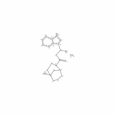 C.CCC(CC(=O)N1CCC2(O)CCCC1C2)c1c[nH]c2ccccc12